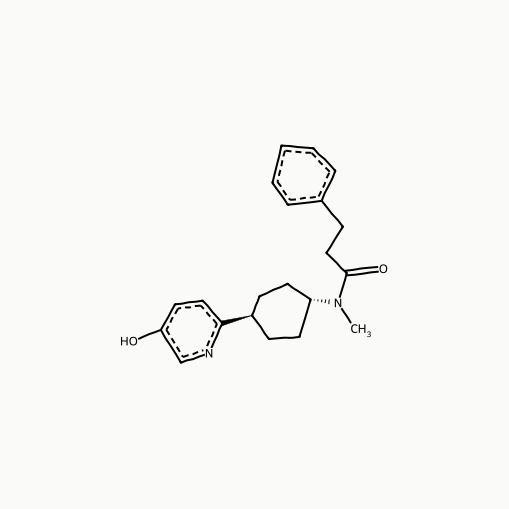 CN(C(=O)CCc1ccccc1)[C@H]1CC[C@H](c2ccc(O)cn2)CC1